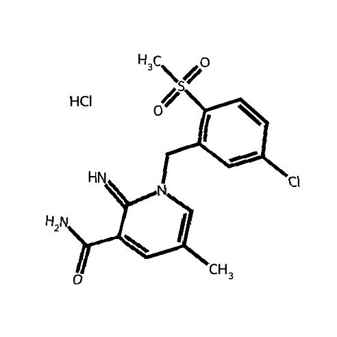 Cc1cc(C(N)=O)c(=N)n(Cc2cc(Cl)ccc2S(C)(=O)=O)c1.Cl